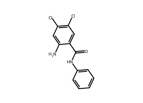 Nc1cc(Cl)c(Cl)cc1C(=O)Nc1[c]cccc1